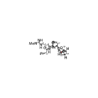 CNC(=N)NCCC[C@H](NC(=O)CC(C)C)C(=O)N[C@@H](CC(C)C)B1O[C@@H]2C[C@@H]3C[C@@H](C3(C)C)[C@]2(C)O1